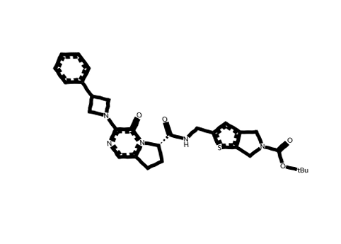 CC(C)(C)OC(=O)N1Cc2cc(CNC(=O)[C@@H]3CCc4cnc(N5CC(c6ccccc6)C5)c(=O)n43)sc2C1